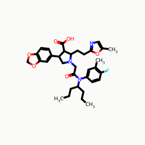 CCCC(CCC)N(C(=O)CN1CC(c2ccc3c(c2)OCO3)C(C(=O)O)C1CCc1ncc(C)o1)c1ccc(F)c(C)c1